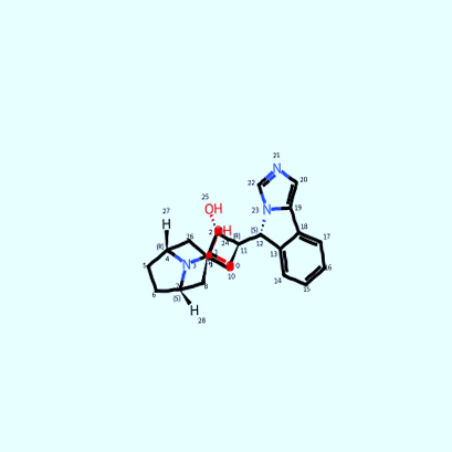 O=C(O)N1[C@@H]2CC[C@H]1C[C@@]1(C[C@H]([C@H]3c4ccccc4-c4cncn43)[C@H]1O)C2